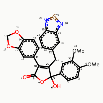 COc1ccc(C2(O)OC(=O)C(c3ccc4c(c3)OCO4)=C2Cc2ccc3nsnc3c2)cc1OC